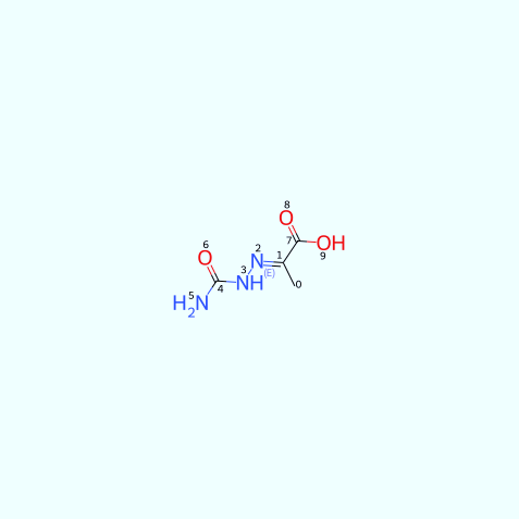 C/C(=N\NC(N)=O)C(=O)O